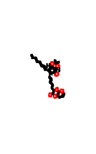 CCCCCCC=C[C@H]1[C@@H]2OC(C)(C)O[C@@H]2C(=O)[C@@H]1CC=CCCC(OC1CCCCO1)C(=O)O